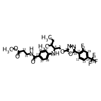 CCC(C)C(COc1nnc(-c2ccc(C(F)(F)F)cc2F)o1)Nc1ccc(C(=O)NCCC(=O)OC)cc1